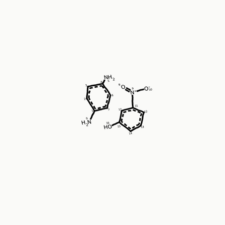 Nc1ccc(N)cc1.O=[N+]([O-])c1cccc(O)c1